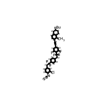 CCCCC1CCc2c(ccc(C#Cc3cc(F)c(C(F)(F)Cc4ccc(C(F)(F)Cc5ccc(N=C=S)c(Cl)c5)cc4)c(F)c3)c2C)C1